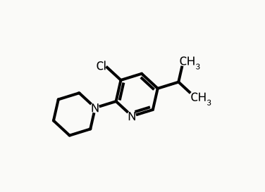 CC(C)c1cnc(N2CCCCC2)c(Cl)c1